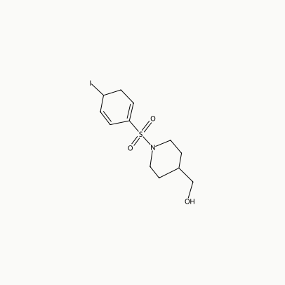 O=S(=O)(C1=CCC(I)C=C1)N1CCC(CO)CC1